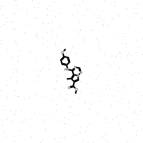 COC(=O)c1cn2ncnc(Nc3ccc(OC)cc3)c2c1C